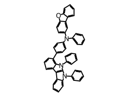 c1ccc(N(c2ccc(-c3cccc4c5c6ccccc6n(-c6ccccc6)c5n(-c5ccccc5)c34)cc2)c2ccc3oc4ccccc4c3c2)cc1